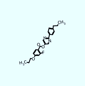 CCCOc1ccc(C(=O)Oc2cnc(-c3ccc(CCC)cc3)nc2)c(F)c1